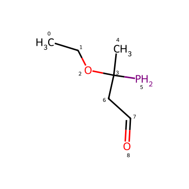 CCOC(C)(P)CC=O